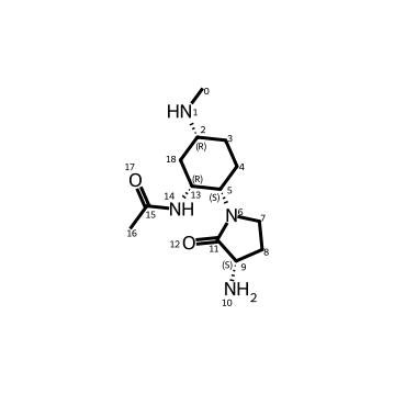 CN[C@@H]1CC[C@H](N2CC[C@H](N)C2=O)[C@H](NC(C)=O)C1